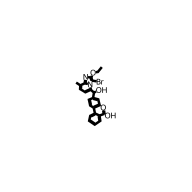 CCOc1nc2c(C)ccc(C(O)c3ccc(-c4ccccc4C(=O)O)cc3)n2c1Br